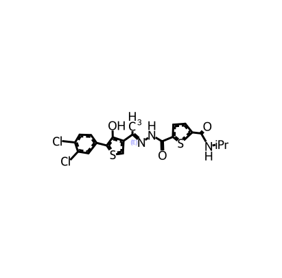 C/C(=N\NC(=O)c1ccc(C(=O)NC(C)C)s1)c1csc(-c2ccc(Cl)c(Cl)c2)c1O